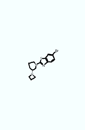 Brc1ccc2nc(N3CCC[C@@H](N4CCC4)C3)sc2c1